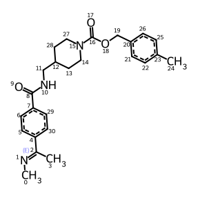 C/N=C(\C)c1ccc(C(=O)NCC2CCN(C(=O)OCc3ccc(C)cc3)CC2)cc1